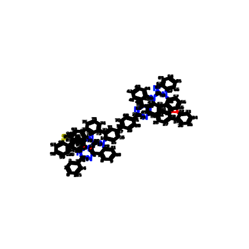 c1ccc(-c2nc(-c3ccccc3N3c4ccc(-c5ccc(-c6nc(-c7ccc8c(c7)oc7ccccc78)nc(-c7ccccc7N7c8ccccc8-c8ccccc8-n8c7nc7ccccc78)n6)cc5)cc4-c4ccccc4-n4c3nc3ccccc34)nc(-c3cccc4sc5ccccc5c34)n2)cc1